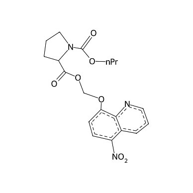 CCCOC(=O)N1CCCC1C(=O)OCOc1ccc([N+](=O)[O-])c2cccnc12